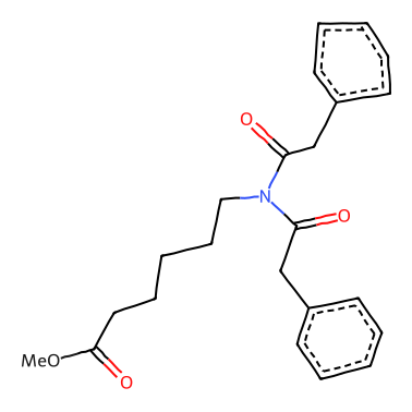 COC(=O)CCCCCN(C(=O)Cc1ccccc1)C(=O)Cc1ccccc1